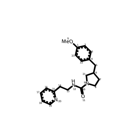 COc1ccc(CC2CCN(C(=O)NCCc3ccccn3)C2)cc1